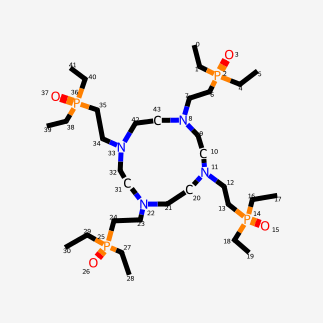 CCP(=O)(CC)CCN1CCN(CCP(=O)(CC)CC)CCN(CCP(=O)(CC)CC)CCN(CCP(=O)(CC)CC)CC1